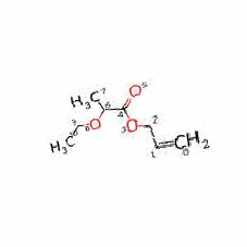 C=CCOC(=O)C(C)OCC